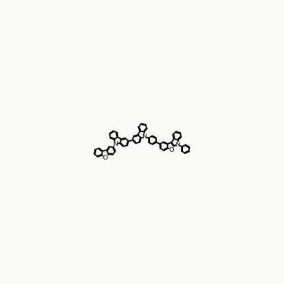 c1ccc(-n2c3ccccc3c3c4cc(-c5ccc(-n6c7ccccc7c7cc(-c8ccc9c(c8)c8ccccc8n9-c8ccc9oc%10ccccc%10c9c8)ccc76)cc5)ccc4oc32)cc1